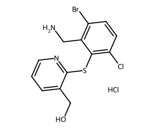 Cl.NCc1c(Br)ccc(Cl)c1Sc1ncccc1CO